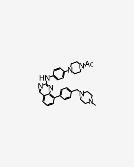 CC(=O)N1CCN(c2ccc(Nc3ncc4cccc(-c5ccc(CN6CCN(C)CC6)cc5)c4n3)cc2)CC1